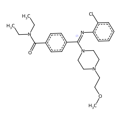 CCN(CC)C(=O)c1ccc(/C(=N/c2ccccc2Cl)N2CCN(CCOC)CC2)cc1